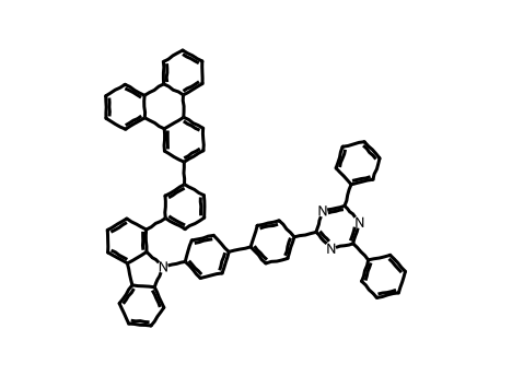 c1ccc(-c2nc(-c3ccccc3)nc(-c3ccc(-c4ccc(-n5c6ccccc6c6cccc(-c7cccc(-c8ccc9c%10ccccc%10c%10ccccc%10c9c8)c7)c65)cc4)cc3)n2)cc1